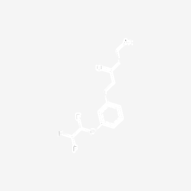 CC(=O)CCC(=O)CCc1cccc(OC(F)C(F)F)c1